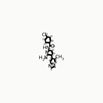 Cc1cn2ccnc2cc1-c1ccc(NC(=O)c2ccc(Cl)cc2)nc1N